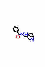 O=C(NCC1CN2CCC1CC2)c1ccccc1